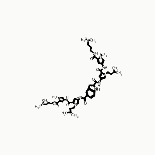 CC(C)CCn1cc(NC(=O)c2ccc3[nH]c(C(=O)Nc4cc(C(=O)Nc5cc(C(=O)NCCCN(C)C)n(C)c5)n(CCC(C)C)c4)cc3c2)cc1C(=O)Nc1cc(C(=O)NCCCN(C)C)n(C)c1